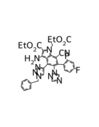 CCOC(=O)Cn1c(C(=O)OCC)c(N)c2c(-c3cn(Cc4ccccc4)nn3)c(-n3cncn3)c(-c3ccc(F)cc3F)c(C#N)c21